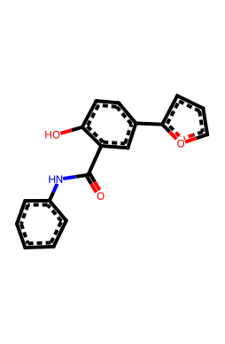 O=C(Nc1ccccc1)c1cc(-c2ccco2)ccc1O